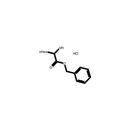 CCCCCCC(CCC)C(=O)OCc1ccccc1.Cl